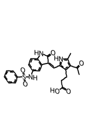 CC(=O)c1c(C)[nH]c(C=C2C(=O)Nc3ccc(NS(=O)(=O)c4ccccc4)cc32)c1CCC(=O)O